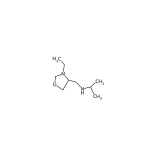 CCN1COCC1CNC(C)C